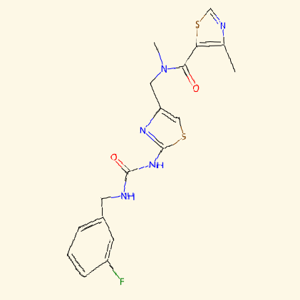 Cc1ncsc1C(=O)N(C)Cc1csc(NC(=O)NCc2cccc(F)c2)n1